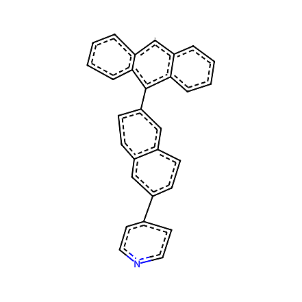 [c]1c2ccccc2c(-c2ccc3cc(-c4ccncc4)ccc3c2)c2ccccc12